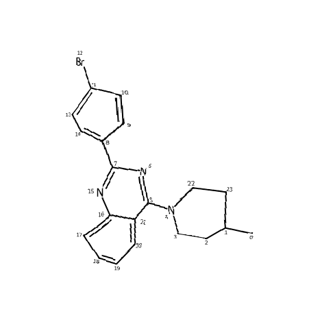 CC1CCN(c2nc(-c3ccc(Br)cc3)nc3ccccc23)CC1